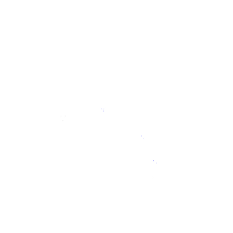 O=C(O)c1cccc2ccn(Cc3ccc(N4CCCCC4)nc3)c12